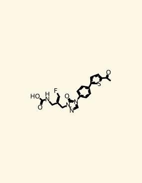 CC(=O)c1ccc(-c2ccc(-n3cnn(CC(=CF)CNC(=O)O)c3=O)cc2)s1